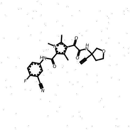 C#CC1(NC(=O)C(=O)c2c(C)c(C(=O)Nc3ccc(F)c(C#N)c3)n(C)c2C)CCOC1